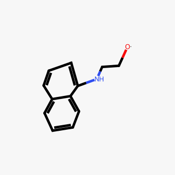 [O]CCNc1cccc2ccccc12